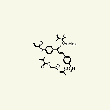 C=C(C)C(=O)O.C=C(C)C(=O)OCC1CO1.C=C(C)C(=O)OCCCCCC.C=CC(=O)Oc1ccc(C(=O)C=Cc2ccc(C)cc2)cc1